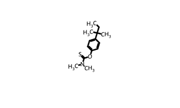 CCC(C)(C)c1ccc(OC(=S)N(C)C)cc1